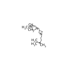 CC(C)[C@H](C)CCCN1CC(CN2CCN(C(C)(C)C)CC2)C1